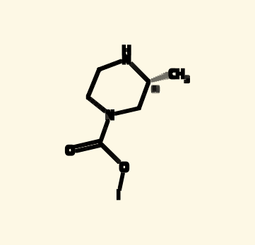 C[C@@H]1CN(C(=O)OI)CCN1